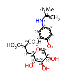 C=C(NC)Nc1ccc(O[C@H]2O[C@H](CC(C(=O)O)C(=O)O)[C@@H](O)[C@H](O)[C@@H]2O)cc1